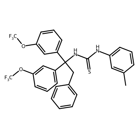 Cc1cccc(NC(=S)NC(Cc2ccccc2)(c2cccc(OC(F)(F)F)c2)c2cccc(OC(F)(F)F)c2)c1